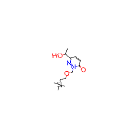 CC(O)c1ccc(=O)n(COCC[Si](C)(C)C)n1